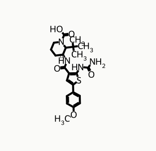 COc1ccc(-c2cc(C(=O)N[C@H]3CCCN(C(=O)O)C3C(C)(C)C)c(NC(N)=O)s2)cc1